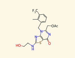 CC(=O)OCc1nc(=O)c2sc(NCCO)nc2n1Cc1cccc(C(F)(F)F)c1C